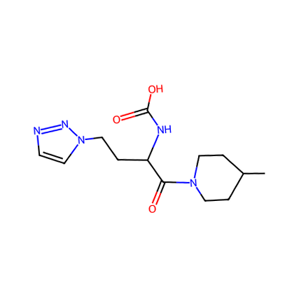 CC1CCN(C(=O)C(CCn2ccnn2)NC(=O)O)CC1